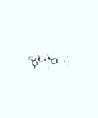 COc1ccc(C(=O)NCCc2c(C)[nH]c3c(F)cc(Br)cc23)cc1OC